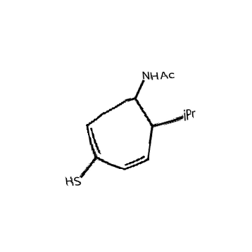 CC(=O)NC1CC=C(S)C=CC1C(C)C